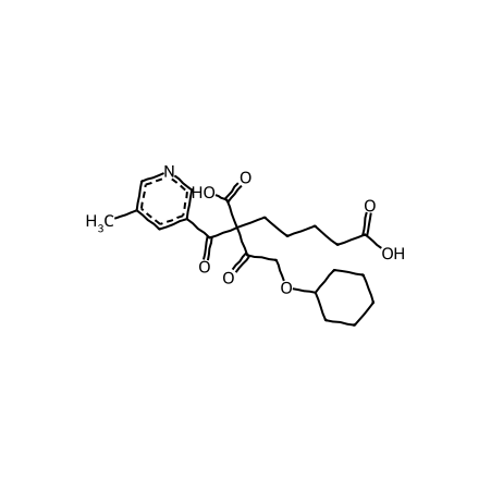 Cc1cncc(C(=O)C(CCCCC(=O)O)(C(=O)O)C(=O)COC2CCCCC2)c1